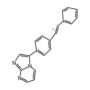 C(=C\c1ccc(-c2cnc3ncccn23)cc1)/c1ccccc1